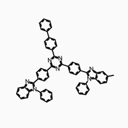 Cc1ccc2c(c1)nc(-c1ccc(-c3nc(-c4ccc(-c5ccccc5)cc4)nc(-c4ccc(-c5nc6ccccc6n5-c5ccccc5)cc4)n3)cc1)n2-c1ccccc1